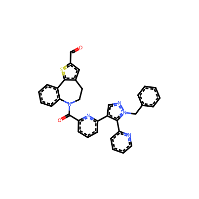 O=Cc1cc2c(s1)-c1ccccc1N(C(=O)c1cccc(-c3cnn(Cc4ccccc4)c3-c3ccccn3)n1)CC2